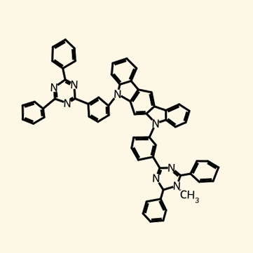 CN1C(c2ccccc2)=NC(c2cccc(-n3c4ccccc4c4cc5c6ccccc6n(-c6cccc(-c7nc(-c8ccccc8)nc(-c8ccccc8)n7)c6)c5cc43)c2)=NC1c1ccccc1